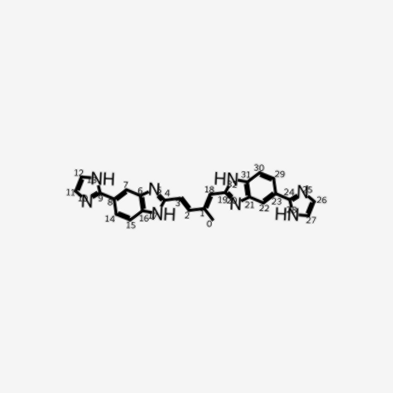 CC(C=Cc1nc2cc(-c3ncc[nH]3)ccc2[nH]1)=Cc1nc2cc(-c3ncc[nH]3)ccc2[nH]1